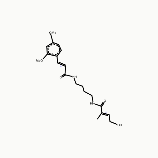 COc1ccc(/C=C/C(=O)NCCCCNC(=O)/C(C)=C/CO)c(OC)c1